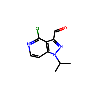 CC(C)n1nc(C=O)c2c(Cl)nccc21